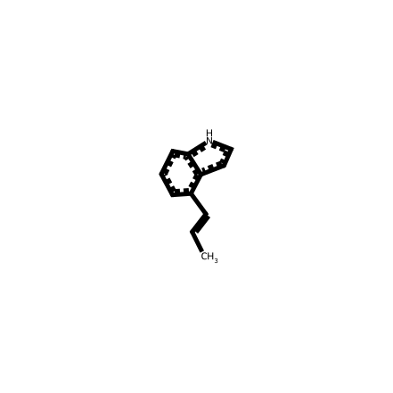 C/C=C/c1cccc2[nH]ccc12